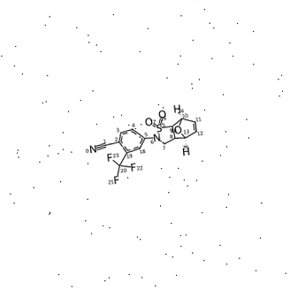 N#Cc1ccc(N2CC3C([C@H]4C=C[C@@H]3O4)S2(=O)=O)cc1C(F)(F)F